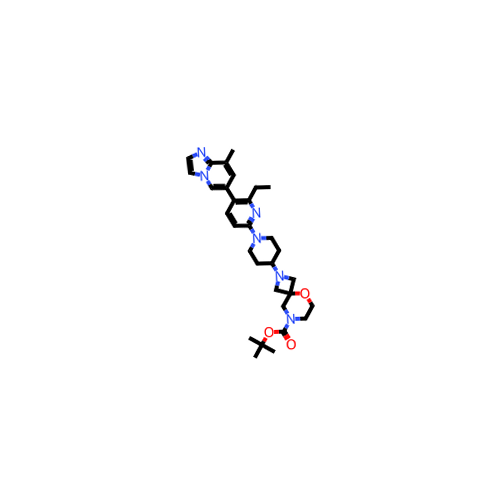 CCc1nc(N2CCC(N3CC4(CN(C(=O)OC(C)(C)C)CCO4)C3)CC2)ccc1-c1cc(C)c2nccn2c1